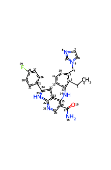 CCc1c(Cn2ccnc2)cccc1Nc1c(C(N)=O)cnc2[nH]c(-c3ccc(F)cc3)cc12